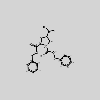 CC(O)C1CN(C(=O)OCc2ccccc2)N(C(=O)OCc2ccccc2)C1